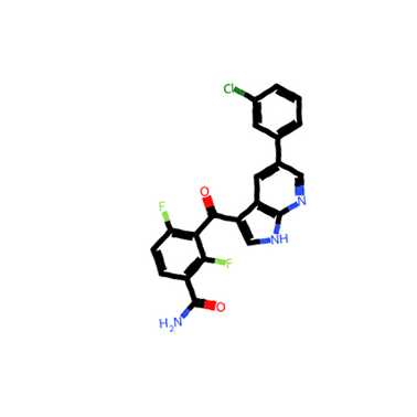 NC(=O)c1ccc(F)c(C(=O)c2c[nH]c3ncc(-c4cccc(Cl)c4)cc23)c1F